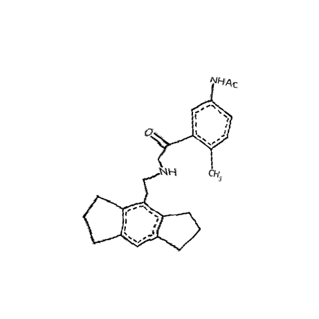 CC(=O)Nc1ccc(C)c(C(=O)NCc2c3c(cc4c2CCC4)CCC3)c1